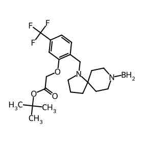 BN1CCC2(CCCN2Cc2ccc(C(F)(F)F)cc2OCC(=O)OC(C)(C)C)CC1